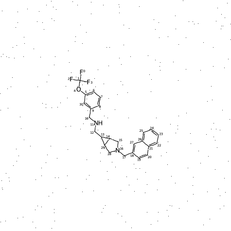 FC(F)(F)Oc1cccc(CNCC2C3CN(Cc4ccc5ccccc5c4)CC23)c1